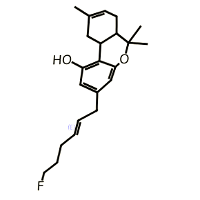 CC1=CCC2C(C1)c1c(O)cc(C/C=C/CCCF)cc1OC2(C)C